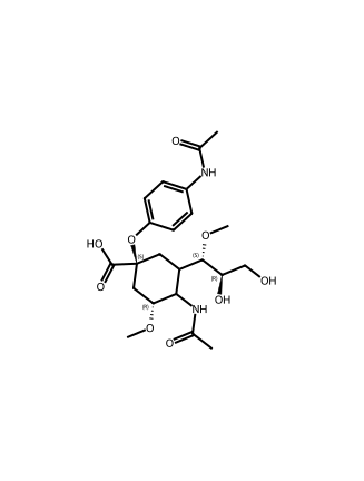 CO[C@@H]1C[C@](Oc2ccc(NC(C)=O)cc2)(C(=O)O)CC([C@H](OC)[C@H](O)CO)C1NC(C)=O